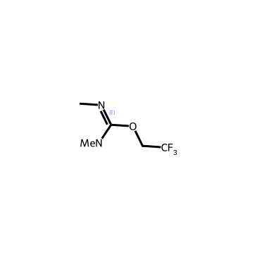 C/N=C(\NC)OCC(F)(F)F